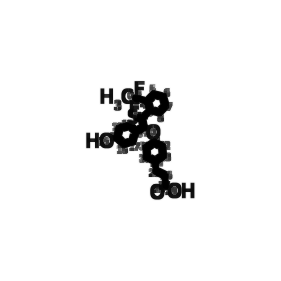 CC(F)(F)c1ccccc1-c1sc2cc(O)ccc2c1Oc1ccc(C=CC(=O)O)cc1